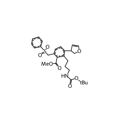 COC(=O)c1c(CS(=O)(=O)c2ccccc2)ccc(C2C=COC2)c1CCCNC(=O)OC(C)(C)C